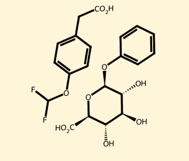 O=C(O)Cc1ccc(OC(F)F)cc1.O=C(O)[C@H]1O[C@@H](Oc2ccccc2)[C@H](O)[C@@H](O)[C@@H]1O